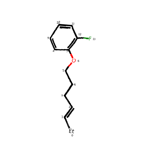 CCC=CCCCOc1ccc[c]c1F